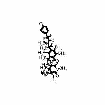 Bc1c(B)c(C(B)(B)N(B)C(=O)C(F)(F)c2ccc(Cl)cc2)c(B)c2c1C(=O)N(C1(B)C(=O)N(B)C(=O)C(B)(B)C1(B)B)C2(B)B